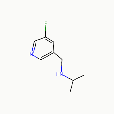 CC(C)NCc1cncc(F)c1